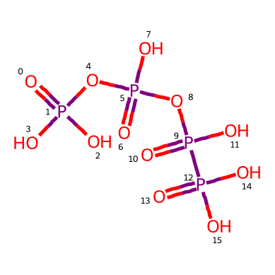 O=P(O)(O)OP(=O)(O)OP(=O)(O)P(=O)(O)O